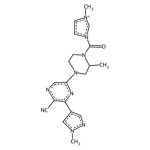 CC1CN(c2cnc(C#N)c(-c3cnn(C)c3)n2)CCN1C(=O)n1cc[n+](C)c1